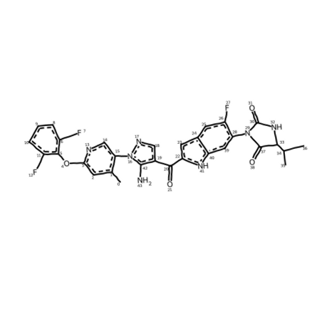 Cc1cc(Oc2c(F)cccc2F)ncc1-n1ncc(C(=O)c2cc3cc(F)c(N4C(=O)NC(C(C)C)C4=O)cc3[nH]2)c1N